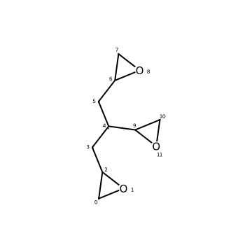 C1OC1C[C](CC1CO1)C1CO1